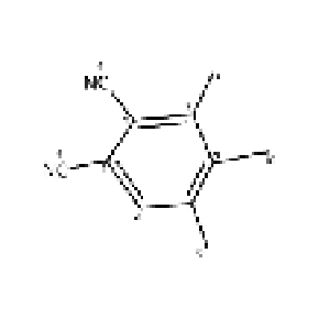 Cc1cc(C#N)c(C#N)c(C)c1C